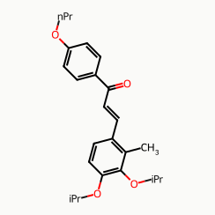 CCCOc1ccc(C(=O)C=Cc2ccc(OC(C)C)c(OC(C)C)c2C)cc1